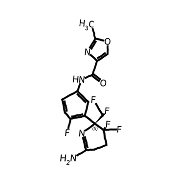 Cc1nc(C(=O)Nc2ccc(F)c([C@@]3(C(F)F)N=C(N)CCC3(F)F)c2)co1